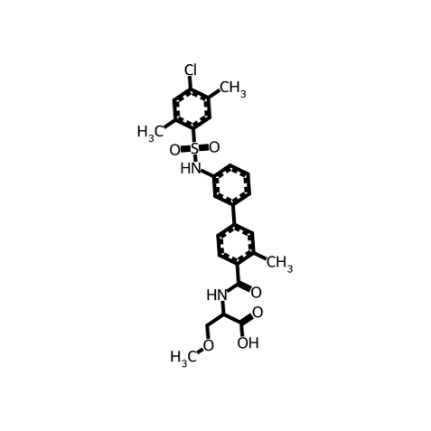 COCC(NC(=O)c1ccc(-c2cccc(NS(=O)(=O)c3cc(C)c(Cl)cc3C)c2)cc1C)C(=O)O